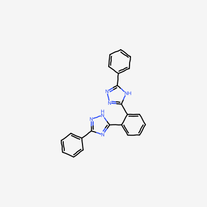 c1ccc(-c2n[nH]c(-c3ccccc3-c3nnc(-c4ccccc4)[nH]3)n2)cc1